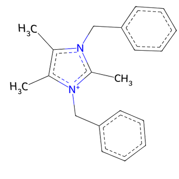 Cc1c(C)[n+](Cc2ccccc2)c(C)n1Cc1ccccc1